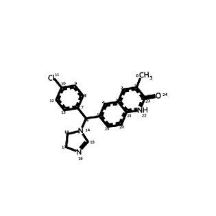 Cc1cc2cc(C(c3ccc(Cl)cc3)N3C=NCC3)ccc2[nH]c1=O